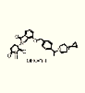 CC(c1ccc(COc2cccc3c2CN([C@H]2CCC(=O)NC2=O)C3=O)cc1)N1CCN(C2CC2)CC1.O=CO